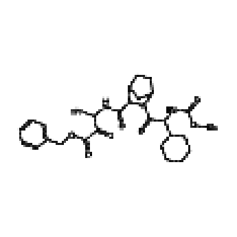 CCCC(NC(=O)C1C2CCC(C2)N1C(=O)C(NC(=O)OC(C)(C)C)C1CCCCC1)C(=O)C(=O)OCc1ccccc1